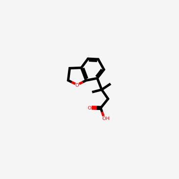 CC(C)(CC(=O)O)c1cccc2c1OCC2